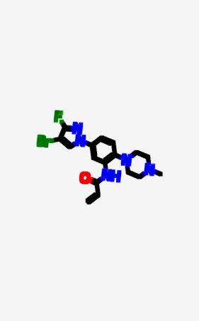 C=CC(=O)Nc1cc(-n2cc(Br)c(F)n2)ccc1N1CCN(C)CC1